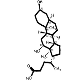 CC(CCC(=O)O)[C@H]1CC[C@H]2[C@@H]3CC[C@@H]4C[C@H](O)CC[C@]4(C)[C@H]3C[C@@H](O)[C@]12C